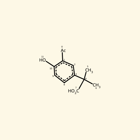 CC(=O)c1cc(C(C)(C)C(=O)O)ccc1O